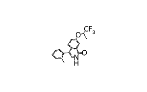 Cc1ccccc1-c1c[nH]c(=O)c2cc(OC(C)C(F)(F)F)ccc12